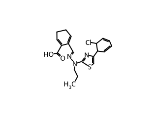 CCCN(/N=C/C1=CCCC=C1C(=O)O)c1nc(C2C=CC=CC2Cl)cs1